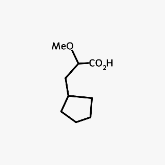 COC(CC1CCCC1)C(=O)O